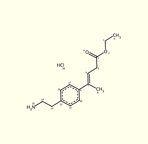 CCOC(=O)CC=C(C)c1ccc(CCN)cc1.Cl